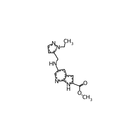 CCn1nccc1CNc1cnc2[nH]c(C(=O)OC)cc2c1